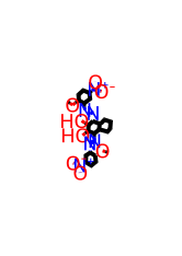 COc1ccc([N+](=O)[O-])cc1N=Nc1c(O)c(O)c(N=Nc2cc([N+](=O)[O-])ccc2OC)c2ccccc12